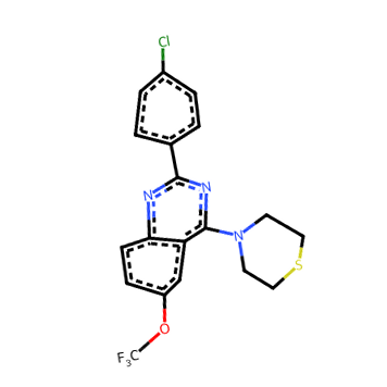 FC(F)(F)Oc1ccc2nc(-c3ccc(Cl)cc3)nc(N3CCSCC3)c2c1